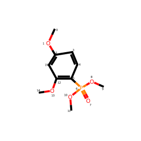 COc1ccc(P(=O)(OC)OC)c(OC)c1